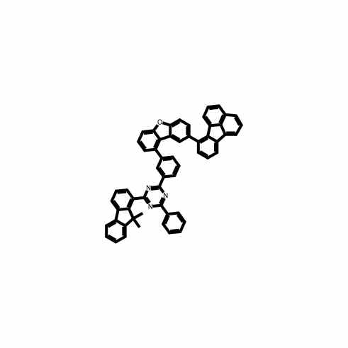 CC1(C)c2ccccc2-c2cccc(-c3nc(-c4ccccc4)nc(-c4cccc(-c5cccc6oc7ccc(-c8cccc9c8-c8cccc%10cccc-9c8%10)cc7c56)c4)n3)c21